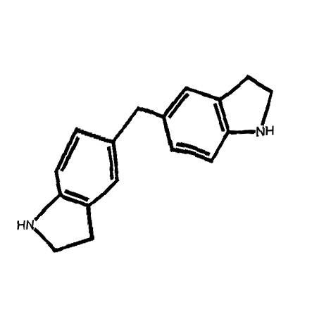 c1cc2c(cc1Cc1ccc3c(c1)CCN3)CCN2